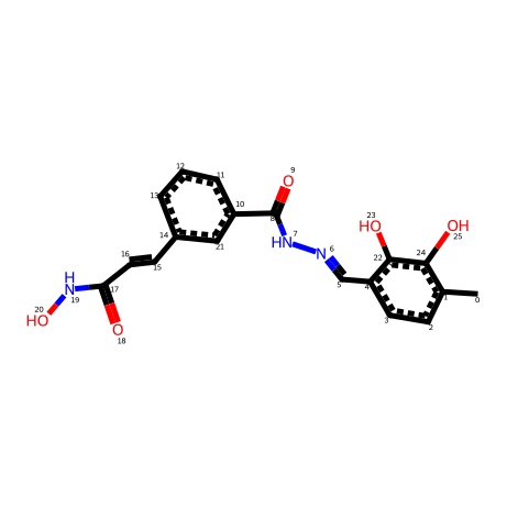 Cc1ccc(/C=N/NC(=O)c2cccc(/C=C/C(=O)NO)c2)c(O)c1O